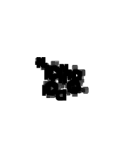 C[C@H]1CC[C@H](Cn2c(N3CCC[C@H]3CF)nc3cc(C#N)nc(-c4cncc(Cl)c4)c32)CC1